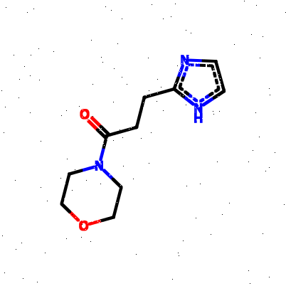 O=C(CCc1ncc[nH]1)N1CCOCC1